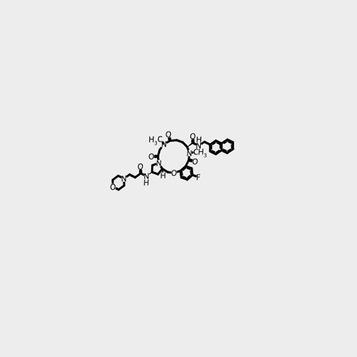 CN1CC(=O)N2C[C@@H](NC(=O)CCN3CCOCC3)C[C@H]2COc2ccc(F)cc2C(=O)N(C)[C@H](C(=O)NCc2ccc3ccccc3c2)CCC1=O